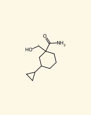 NC(=O)C1([CH]O)CCCC(C2CC2)C1